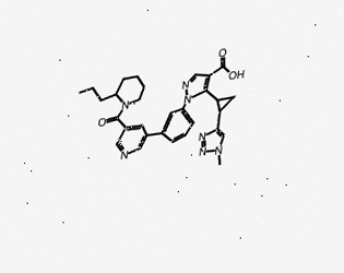 CCCC1CCCCN1C(=O)c1cncc(-c2cccc(-n3ncc(C(=O)O)c3C3CC3c3cn(C)nn3)c2)c1